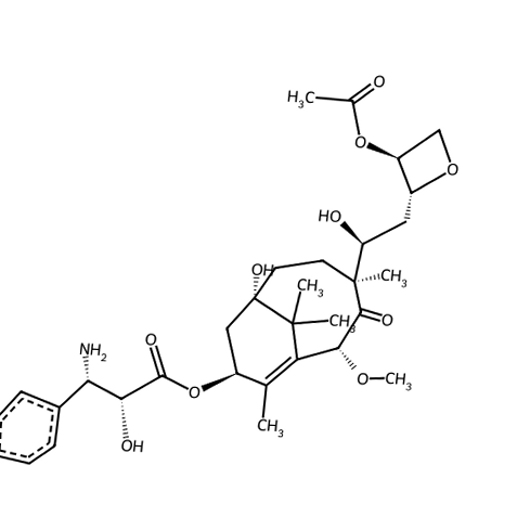 CO[C@H]1C(=O)[C@](C)([C@@H](O)C[C@H]2OC[C@@H]2OC(C)=O)CC[C@]2(O)C[C@H](OC(=O)[C@H](O)[C@@H](N)c3ccccc3)C(C)=C1C2(C)C